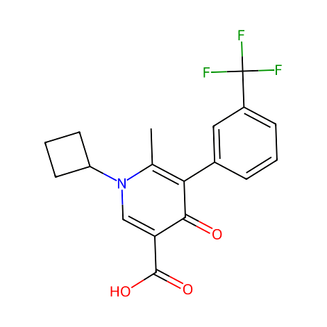 Cc1c(-c2cccc(C(F)(F)F)c2)c(=O)c(C(=O)O)cn1C1CCC1